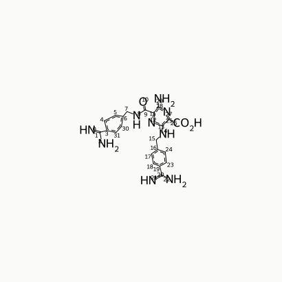 N=C(N)c1ccc(CNC(=O)c2nc(NCc3ccc(C(=N)N)cc3)c(C(=O)O)nc2N)cc1